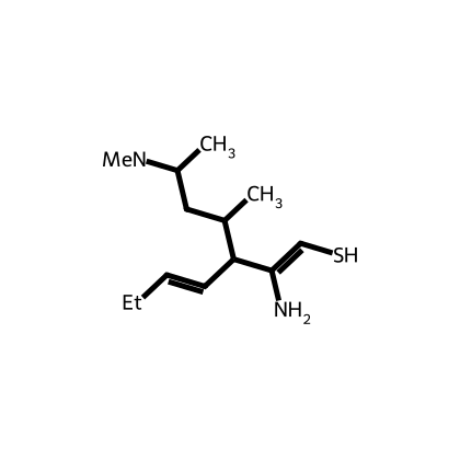 CC/C=C/C(/C(N)=C/S)C(C)CC(C)NC